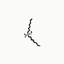 CCCCCCCC[Si](CCCCCCCC)(OC)N(C)C